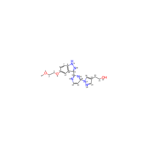 COCCOc1ccc2[nH]nc(-c3nccc(-n4cc(CCO)cn4)n3)c2c1